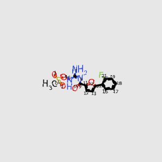 CS(=O)(=O)ONC(N)=NC(=O)c1ccc(-c2ccccc2F)o1